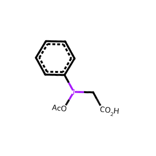 CC(=O)OI(CC(=O)O)c1ccccc1